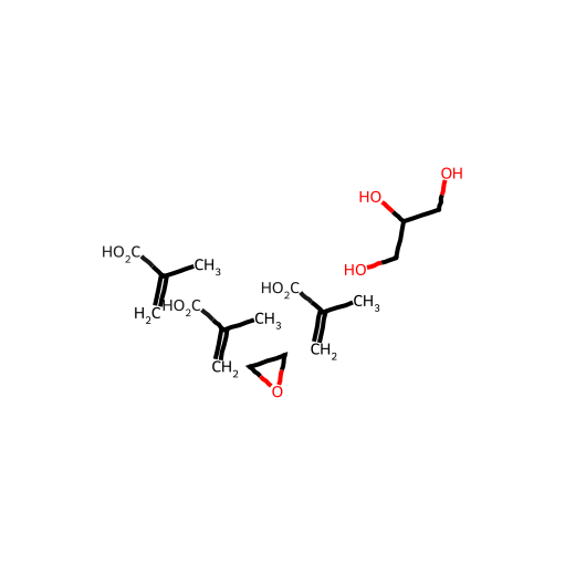 C1CO1.C=C(C)C(=O)O.C=C(C)C(=O)O.C=C(C)C(=O)O.OCC(O)CO